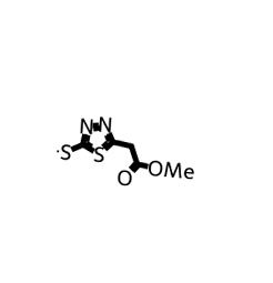 COC(=O)Cc1nnc([S])s1